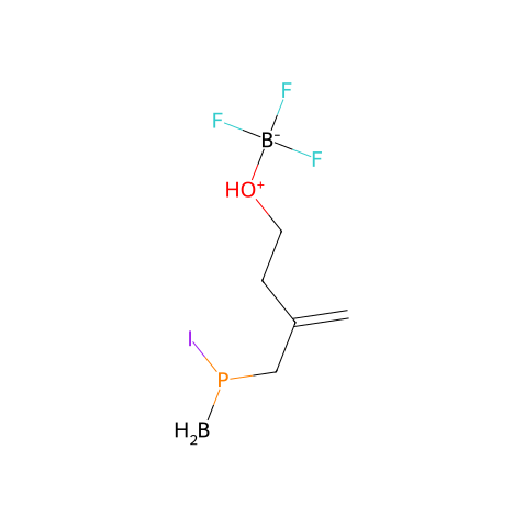 BP(I)CC(=C)CC[OH+][B-](F)(F)F